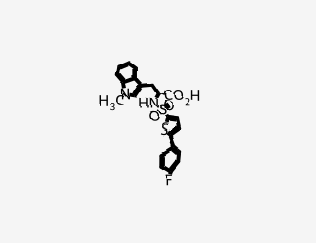 Cn1cc(C[C@@H](NS(=O)(=O)c2ccc(-c3ccc(F)cc3)s2)C(=O)O)c2ccccc21